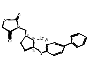 O=C(O)[C@H]1[C@H](CN2C(=O)CSC2=O)CC[C@@H]1Sc1ccc(-c2ccccc2)cc1